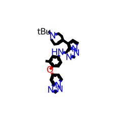 Cc1cc(Nc2ncnn3ccc(C4=CCCN(C(C)(C)C)CC4)c23)ccc1Oc1ccn2ncnc2c1